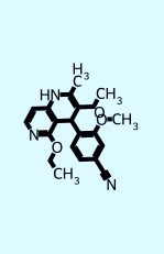 CCOc1nccc2c1C(c1ccc(C#N)cc1OC)C(C(C)=O)=C(C)N2